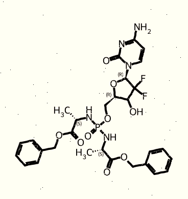 C[C@H](NP(=O)(N[C@@H](C)C(=O)OCc1ccccc1)OC[C@H]1O[C@@H](n2ccc(N)nc2=O)C(F)(F)C1O)C(=O)OCc1ccccc1